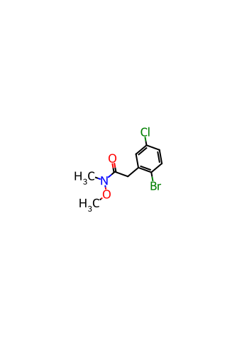 CON(C)C(=O)Cc1cc(Cl)ccc1Br